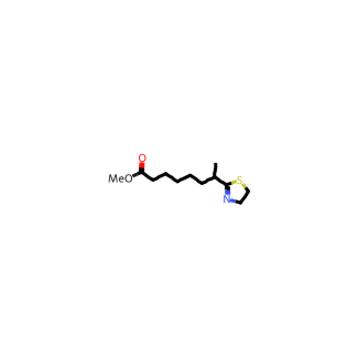 COC(=O)CCCCCC(C)C1=NCCS1